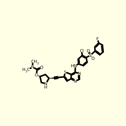 CN(C)C(=O)O[C@H]1CN[C@H](C#Cc2cc3ncnc(Nc4ccc(S(=O)(=O)c5cccc(F)c5)c(Cl)c4)c3s2)C1